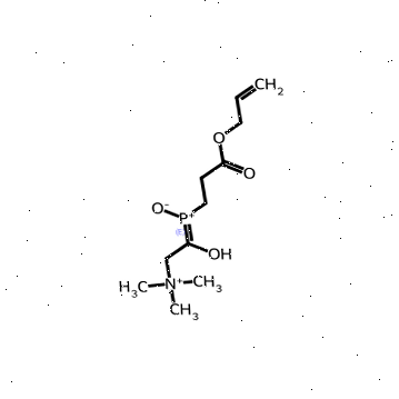 C=CCOC(=O)CC/[P+]([O-])=C(\O)C[N+](C)(C)C